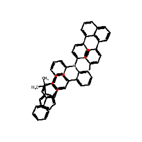 CC1(C)c2ccccc2-c2cc(-c3ccccc3N(c3ccc(-c4cccc5cccc(-c6ccc(F)cc6)c45)cc3)c3cccc(-c4ccc(-c5ccccc5)cc4)c3)ccc21